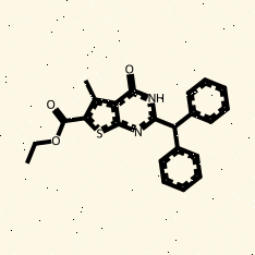 CCOC(=O)c1sc2nc(C(c3ccccc3)c3ccccc3)[nH]c(=O)c2c1C